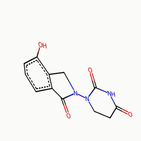 O=C1CCN(N2Cc3c(O)cccc3C2=O)C(=O)N1